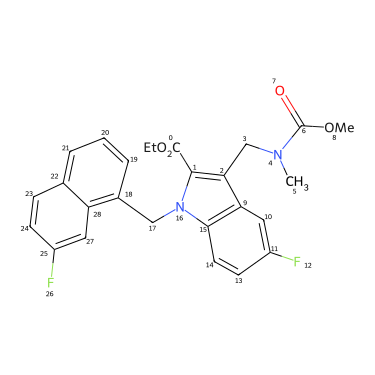 CCOC(=O)c1c(CN(C)C(=O)OC)c2cc(F)ccc2n1Cc1cccc2ccc(F)cc12